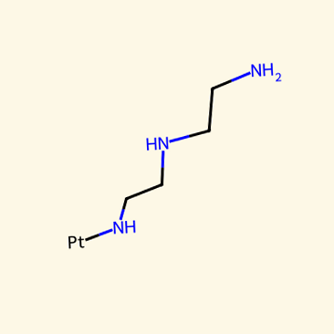 NCCNCC[NH][Pt]